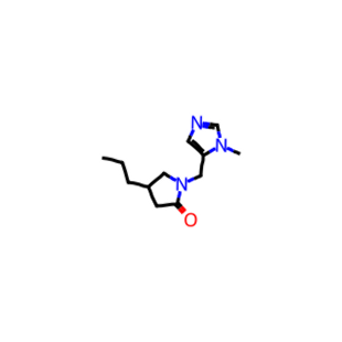 CCCC1CC(=O)N(Cc2cncn2C)C1